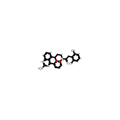 Nc1nc(-c2ccccc2)c2c(C3CCN(C(=O)Cc4c(Cl)cccc4Cl)CC3)cccc2n1